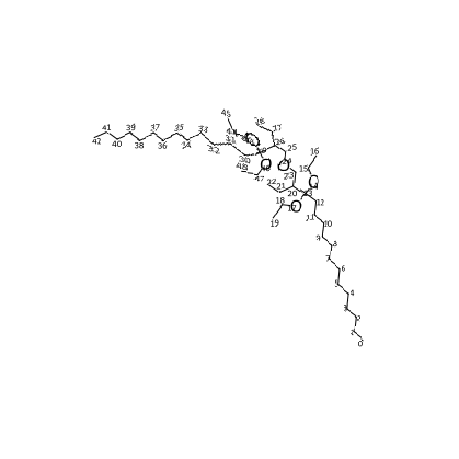 CCCCCCCCCCCCCC(OCC)(OCC)C(CC)COCC(CC)C(CCCCCCCCCCCCC)(OCC)OCC